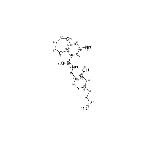 COCCN1CC[C@@H](CNC(=O)c2cc(N)cc3c2OCCCO3)[C@H](O)C1